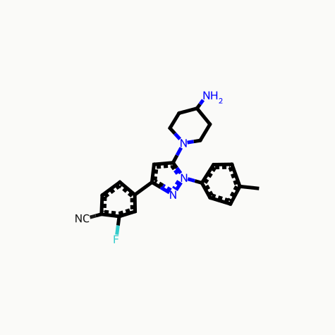 Cc1ccc(-n2nc(-c3ccc(C#N)c(F)c3)cc2N2CCC(N)CC2)cc1